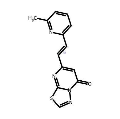 Cc1cccc(/C=C/c2cc(=O)n3ncsc3n2)n1